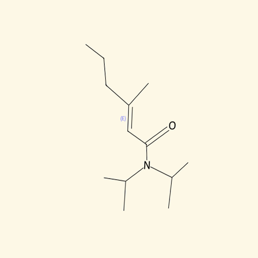 CCC/C(C)=C/C(=O)N(C(C)C)C(C)C